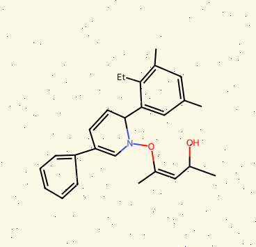 CCc1c(C)cc(C)cc1C1C=CC(c2ccccc2)=CN1O/C(C)=C\C(C)O